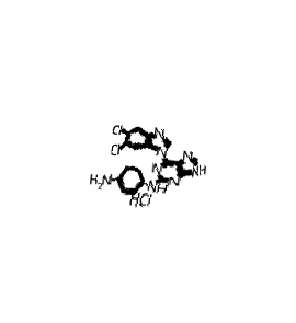 Cl.N[C@H]1CC[C@H](Nc2nc(-n3cnc4cc(Cl)c(Cl)cc43)c3nc[nH]c3n2)CC1